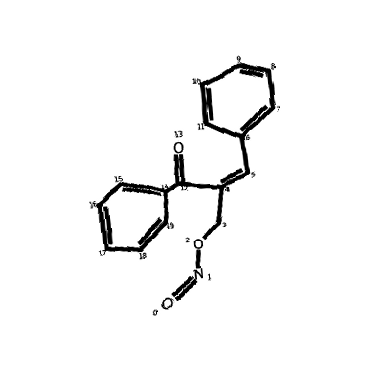 O=NOCC(=Cc1ccccc1)C(=O)c1ccccc1